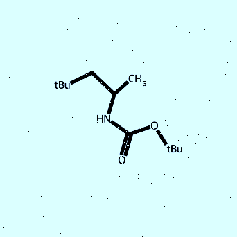 CC(CC(C)(C)C)NC(=O)OC(C)(C)C